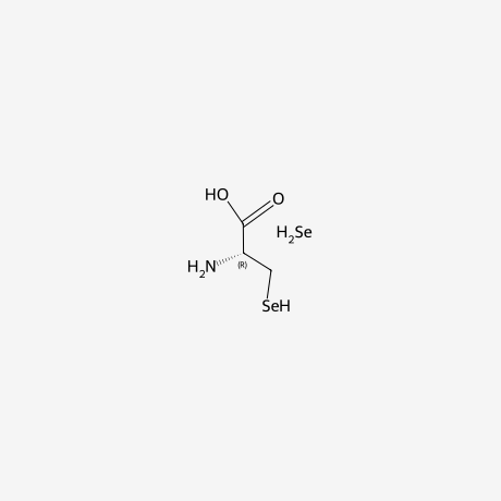 N[C@@H](C[SeH])C(=O)O.[SeH2]